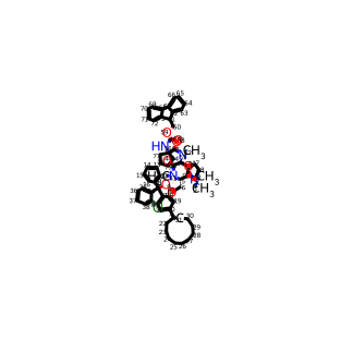 CN(C)C(=O)[C@H](CC(=O)OC(c1ccccc1)(c1ccc(C2CCCCCCCCCC2)cc1)c1ccccc1Cl)N(C)C(=O)[C@H](C1CCCC1)N(C)C(=O)C1(NC(=O)OCC2c3ccccc3-c3ccccc32)CCCC1